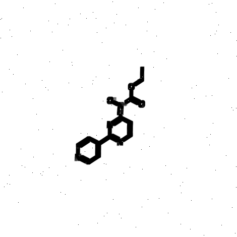 CCOC(=O)[NH+]([O-])c1ccnc(-c2ccncc2)n1